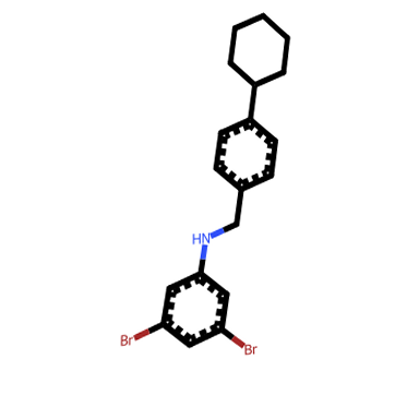 Brc1cc(Br)cc(NCc2ccc(C3CCCCC3)cc2)c1